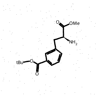 COC(=O)[C@@H](N)Cc1cccc(C(=O)OC(C)(C)C)c1